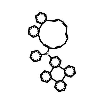 C1=C\C=C\c2ccccc2-c2ccccc2C/C=C(N(c2ccccc2)c2ccc3c(c2)-c2ccccc2-c2ccccc2-c2ccccc2-3)\C=C/C/C=C/1